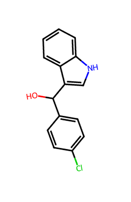 OC(c1ccc(Cl)cc1)c1c[nH]c2ccccc12